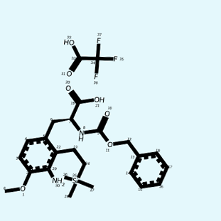 COc1ccc(C[C@H](NC(=O)OCc2ccccc2)C(=O)O)c(CC[Si](C)(C)C)c1N.O=C(O)C(F)(F)F